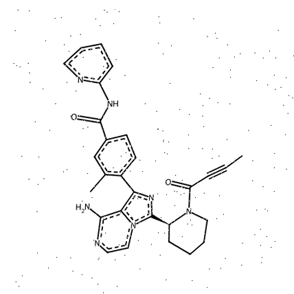 CC#CC(=O)N1CCCC[C@H]1c1nc(-c2ccc(C(=O)Nc3ccccn3)cc2C)c2c(N)nccn12